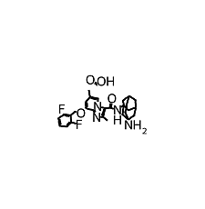 Cc1cc(OCc2c(F)cccc2F)c2nc(C)c(C(=O)NC34CC5CC(CC(N)(C5)C3)C4)n2c1.O=CO